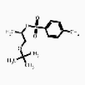 Cc1ccc(S(=O)(=O)O[C@H](C)COC(C)(C)C)cc1